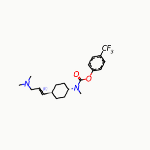 CN(C)C/C=C/[C@H]1CC[C@H](N(C)C(=O)Oc2ccc(C(F)(F)F)cc2)CC1